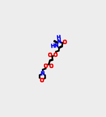 C=C1NC(=O)C=C(CCOC(=O)/C=C/C(=O)OCCN2CCOCC2)N1